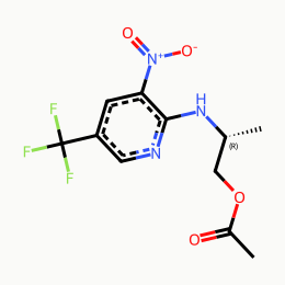 CC(=O)OC[C@@H](C)Nc1ncc(C(F)(F)F)cc1[N+](=O)[O-]